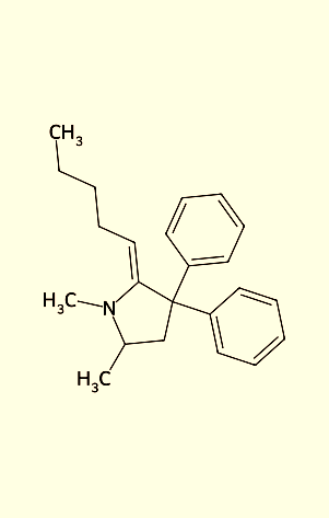 CCCCC=C1N(C)C(C)CC1(c1ccccc1)c1ccccc1